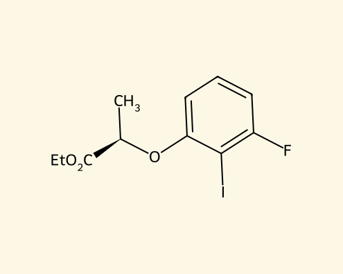 CCOC(=O)[C@@H](C)Oc1cccc(F)c1I